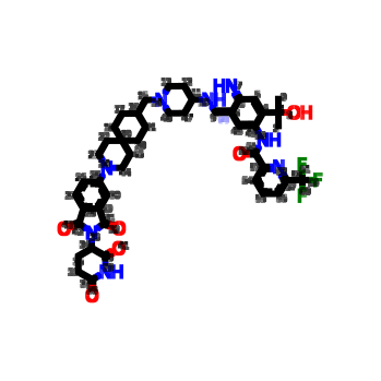 CC(C)(O)C1=CC(=N)/C(=C\NC2CCN(CC3CCC4(CC3)CCN(c3ccc5c(c3)C(=O)N(C3CCC(=O)NC3=O)C5=O)CC4)CC2)C=C1NC(=O)c1cccc(C(F)(F)F)n1